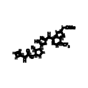 COCc1cn2c(Nc3cc([C@@H]4CC[C@H](OC(=O)NC56CC(C5)C6)[C@H]4F)[nH]n3)ncc(C(F)(F)F)c2n1